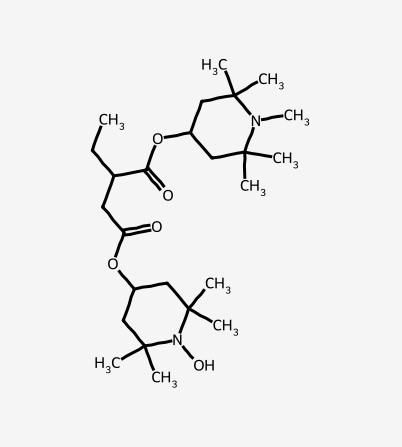 CCC(CC(=O)OC1CC(C)(C)N(O)C(C)(C)C1)C(=O)OC1CC(C)(C)N(C)C(C)(C)C1